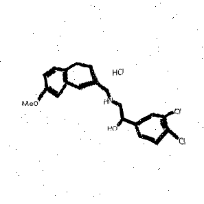 COc1ccc2c(c1)CC(CNCC(O)c1ccc(Cl)c(Cl)c1)CC2.Cl